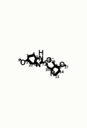 COc1ccc2[nH]c([S@+]([O-])Cc3nccc(OC)c3C)nc2c1